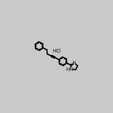 C(#Cc1ccc(C2=NCCN2)cc1)CCc1ccccc1.Cl